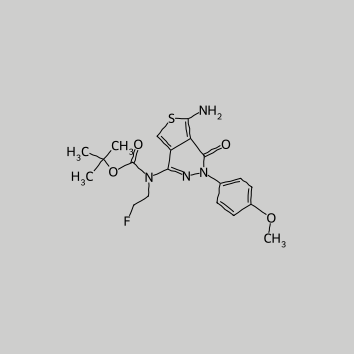 COc1ccc(-n2nc(N(CCF)C(=O)OC(C)(C)C)c3csc(N)c3c2=O)cc1